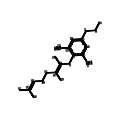 CCCc1cc(O)c(C/C(C)=C(\C)CCC=C(C)C)c(O)c1